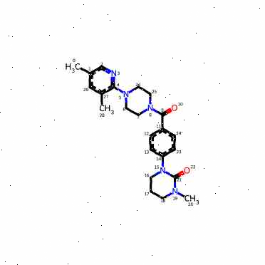 Cc1cnc(N2CCN(C(=O)c3ccc(N4CCCN(C)C4=O)cc3)CC2)c(C)c1